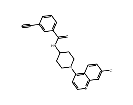 N#Cc1cccc(C(=O)NC2CCN(c3ccnc4cc(Cl)ccc34)CC2)c1